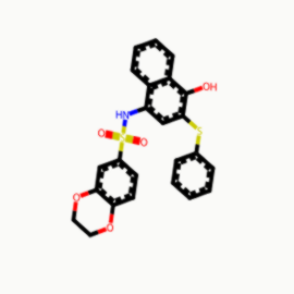 O=S(=O)(Nc1cc(Sc2ccccc2)c(O)c2ccccc12)c1ccc2c(c1)OCCO2